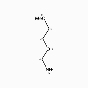 COCCOC[NH]